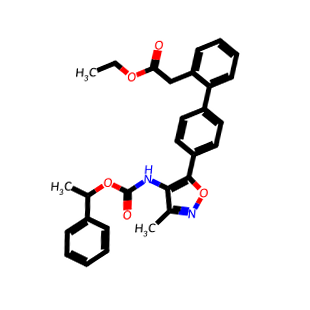 CCOC(=O)Cc1ccccc1-c1ccc(-c2onc(C)c2NC(=O)OC(C)c2ccccc2)cc1